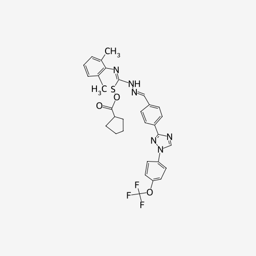 Cc1cccc(C)c1/N=C(/N/N=C/c1ccc(-c2ncn(-c3ccc(OC(F)(F)F)cc3)n2)cc1)SOC(=O)C1CCCC1